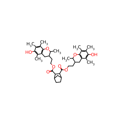 Cc1c(C)c2c(c(C)c1O)CC(CCOC(=O)C1C3CCC(C3)C1C(=O)OCCC1Cc3c(C)c(O)c(C)c(C)c3OC1C)C(C)O2